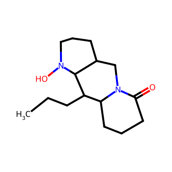 CCCC1C2C(CCCN2O)CN2C(=O)CCCC12